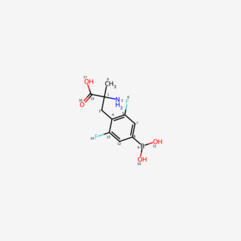 CC(N)(Cc1c(F)cc(B(O)O)cc1F)C(=O)O